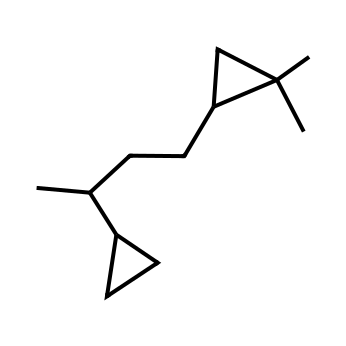 CC(CCC1CC1(C)C)C1CC1